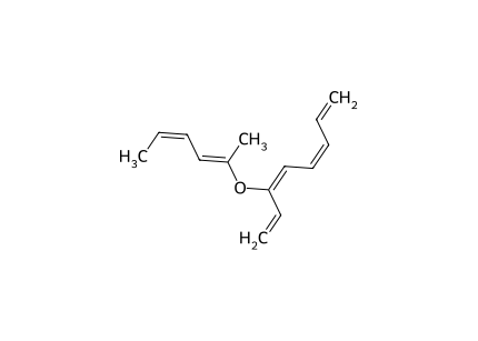 C=C/C=C\C=C(/C=C)O/C(C)=C/C=C\C